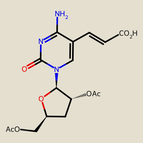 CC(=O)OC[C@@H]1C[C@@H](OC(C)=O)[C@H](n2cc(C=CC(=O)O)c(N)nc2=O)O1